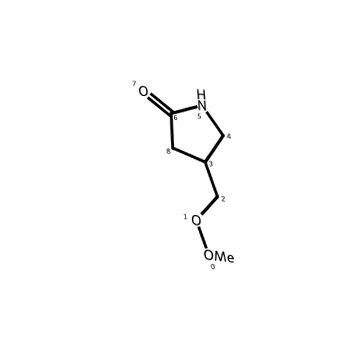 COOCC1CNC(=O)C1